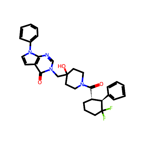 O=C([C@H]1CCCC(F)(F)[C@@H]1c1ccccc1)N1CCC(O)(Cn2cnc3c(ccn3-c3ccccc3)c2=O)CC1